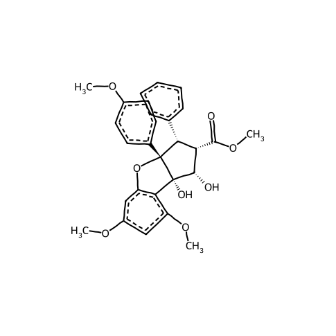 COC(=O)[C@H]1[C@@H](c2ccccc2)[C@@]2(c3ccc(OC)cc3)Oc3cc(OC)cc(OC)c3[C@]2(O)[C@H]1O